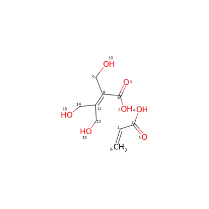 C=CC(=O)O.O=C(O)C(CO)=C(CO)CO